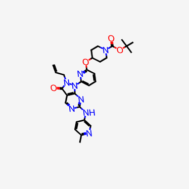 C=CCn1c(=O)c2cnc(Nc3ccc(C)nc3)nc2n1-c1cccc(OC2CCN(C(=O)OC(C)(C)C)CC2)n1